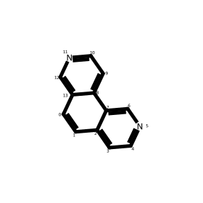 [c]1cc2ccncc2c2ccncc12